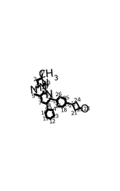 Cc1cc2ncc3cc(-c4ccccc4)c(-c4ccc([C]5CC(=O)C5)cc4)nc3n2n1